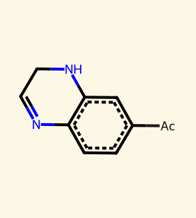 CC(=O)c1ccc2c(c1)NCC=N2